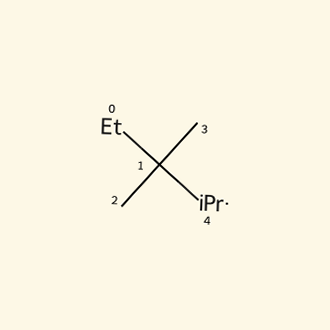 [CH2]CC(C)(C)[C](C)C